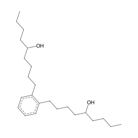 CCCCC(O)CCCCc1ccccc1CCCCC(O)CCCC